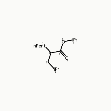 CCCCCC(CC(C)C)C(=O)OC(C)C